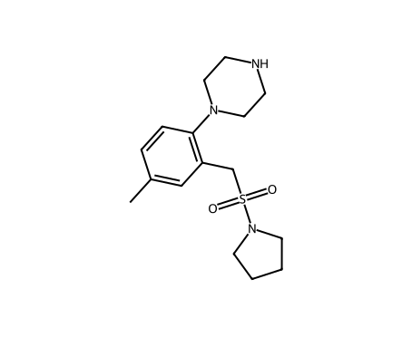 Cc1ccc(N2CCNCC2)c(CS(=O)(=O)N2CCCC2)c1